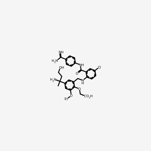 CCOc1cc(C(C)(N)CCO)cc(CNc2ccc(Cl)cc2C(=O)Nc2ccc(C(=N)N)cc2)c1OCC(=O)O